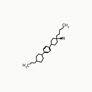 CCCCCC1(C#N)CCC(c2ccc(C3CCC(CCC)CC3)cc2)CC1